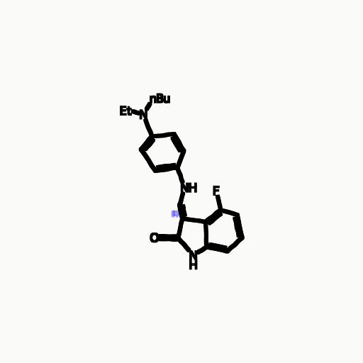 CCCCN(CC)c1ccc(N/C=C2/C(=O)Nc3cccc(F)c32)cc1